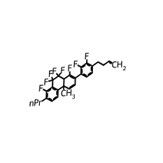 C=CCCc1ccc(C2=C(F)C3C(C)(C=C2)c2ccc(CCC)c(F)c2C(F)(F)C3(F)F)c(F)c1F